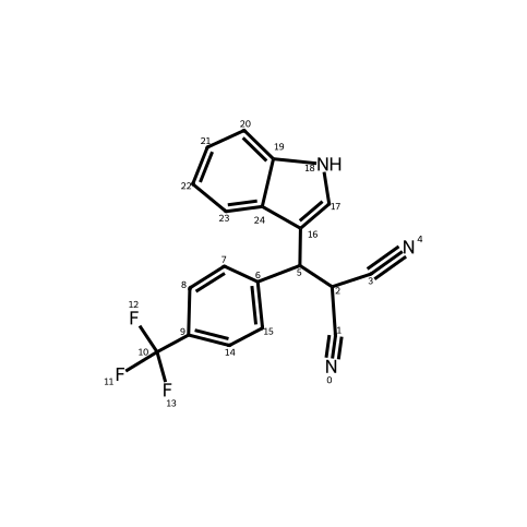 N#CC(C#N)C(c1ccc(C(F)(F)F)cc1)c1c[nH]c2ccccc12